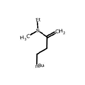 C=C(CCCCCC)N(C)CC